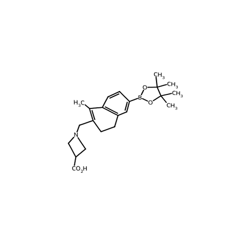 CC1=C(CN2CC(C(=O)O)C2)CCc2cc(B3OC(C)(C)C(C)(C)O3)ccc21